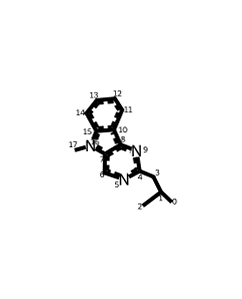 CC(C)Cc1ncc2c(n1)c1ccccc1n2C